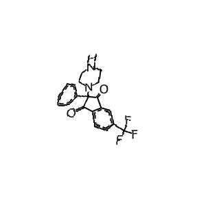 O=C1c2ccc(C(F)(F)F)cc2C(=O)C1(c1ccccc1)N1CCNCC1